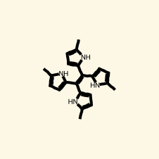 Cc1ccc(C(=C(c2ccc(C)[nH]2)c2ccc(C)[nH]2)c2ccc(C)[nH]2)[nH]1